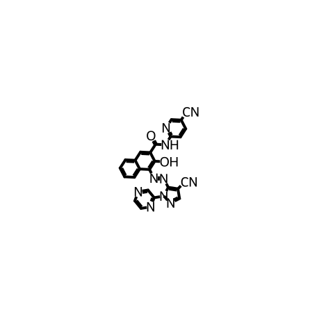 N#Cc1ccc(NC(=O)c2cc3ccccc3c(/N=N/c3c(C#N)cnn3-c3cnccn3)c2O)nc1